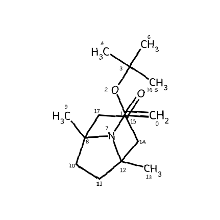 C=C(OC(C)(C)C)N1C2(C)CCC1(C)CC(=O)C2